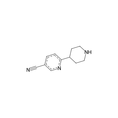 N#Cc1ccc(C2CCNCC2)nc1